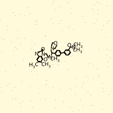 Cc1cc2ncc(=O)n(CC(=O)N(C)C(CN3CCOCC3)c3ccc(-c4cccc(C(=O)N(C)C)c4)cc3)c2cc1C